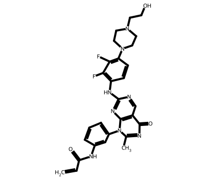 C=CC(=O)Nc1cccc(-n2c(C)nc(=O)c3cnc(Nc4ccc(N5CCN(CCO)CC5)c(F)c4F)nc32)c1